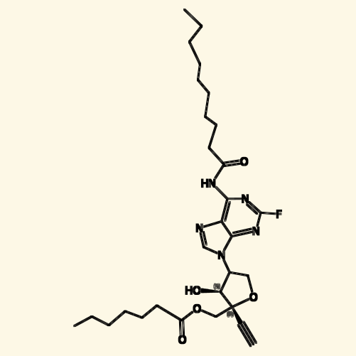 C#C[C@]1(COC(=O)CCCCCC)OCC(n2cnc3c(NC(=O)CCCCCCCCC)nc(F)nc32)[C@@H]1O